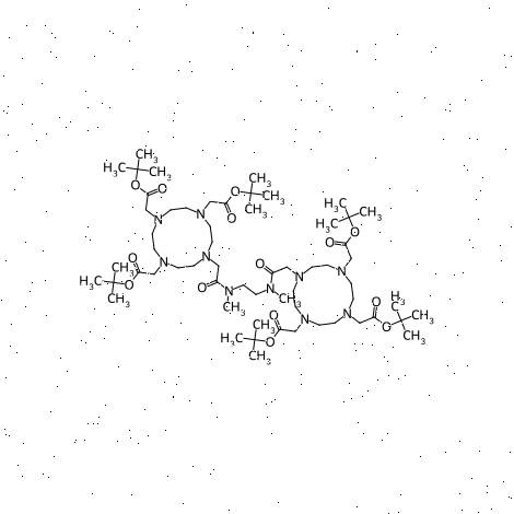 CN(CCN(C)C(=O)CN1CCN(CC(=O)OC(C)(C)C)CCN(CC(=O)OC(C)(C)C)CCN(CC(=O)OC(C)(C)C)CC1)C(=O)CN1CCN(CC(=O)OC(C)(C)C)CCN(CC(=O)OC(C)(C)C)CCN(CC(=O)OC(C)(C)C)CC1